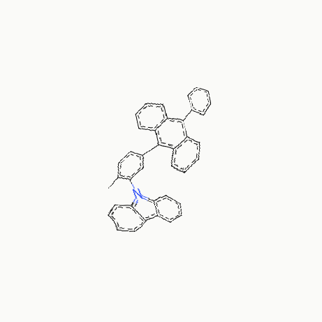 Cc1ccc(-c2c3ccccc3c(-c3ccccc3)c3ccccc23)cc1-n1c2ccccc2c2ccccc21